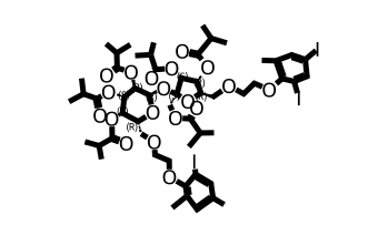 Cc1cc(C)c(OCCOC[C@H]2O[C@H](O[C@]3(COC(=O)C(C)C)O[C@H](COCCOc4c(C)cc(I)cc4I)[C@@H](OC(=O)C(C)C)[C@@H]3OC(=O)C(C)C)[C@H](OC(=O)C(C)C)[C@@H](OC(=O)C(C)C)[C@@H]2OC(=O)C(C)C)c(I)c1